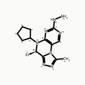 CC[C@@H]1c2nnc(C)n2-c2cnc(NN)nc2N1C1CCCC1